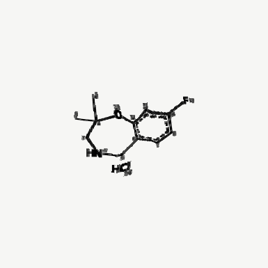 CC1(C)CNCc2ccc(F)cc2O1.Cl